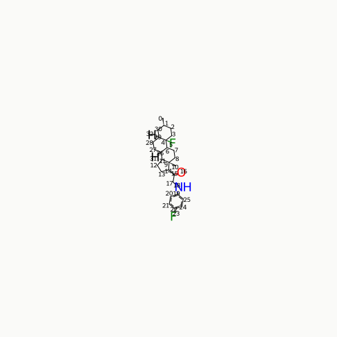 C[C@H]1CC[C@]2(F)C3CC[C@@]4(C)C(CC[C@@H]4C(=O)CNc4ccc(F)cc4)[C@@H]3CC[C@@H]2C1